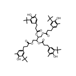 Cc1cc(CCC(=O)OCC(OC(=O)CCc2cc(C)c(O)c(C(C)(C)C)c2)C(COC(=O)CCc2cc(C)c(O)c(C(C)(C)C)c2)OC(=O)CCc2cc(C)c(O)c(C(C)(C)C)c2)cc(C(C)(C)C)c1O